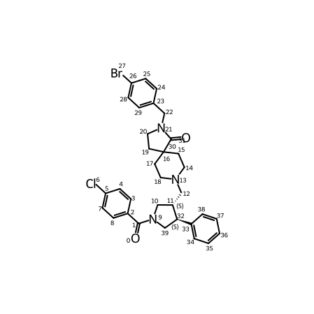 O=C(c1ccc(Cl)cc1)N1C[C@H](CN2CCC3(CC2)CCN(Cc2ccc(Br)cc2)C3=O)[C@@H](c2ccccc2)C1